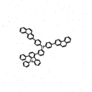 c1ccc(-c2ccc(-c3cccc(N(c4ccc(-c5ccc6c(ccc7ccccc76)c5)cc4)c4ccc(-c5ccc6c(ccc7ccccc76)c5)cc4)c3)c3c4ccccc4n(-c4ccccc4)c23)cc1